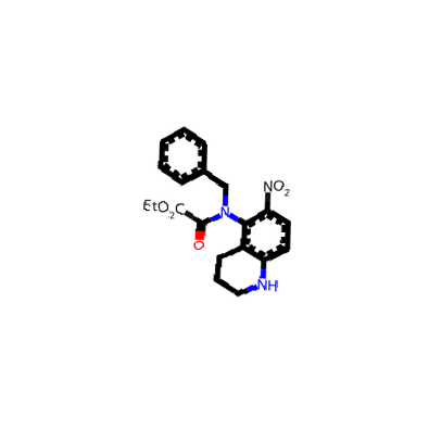 CCOC(=O)C(=O)N(Cc1ccccc1)c1c([N+](=O)[O-])ccc2c1CCCN2